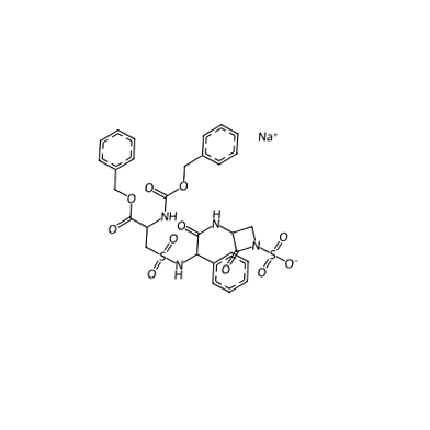 O=C(NC(CS(=O)(=O)NC(C(=O)NC1CN(S(=O)(=O)[O-])C1=O)c1ccccc1)C(=O)OCc1ccccc1)OCc1ccccc1.[Na+]